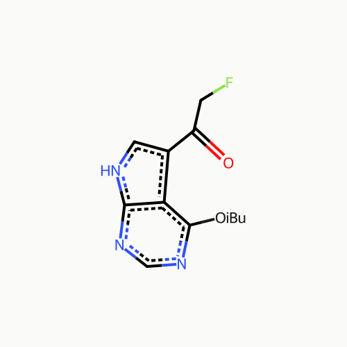 CC(C)COc1ncnc2[nH]cc(C(=O)CF)c12